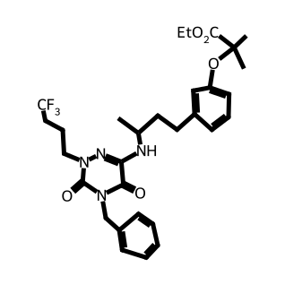 CCOC(=O)C(C)(C)Oc1cccc(CCC(C)Nc2nn(CCCC(F)(F)F)c(=O)n(Cc3ccccc3)c2=O)c1